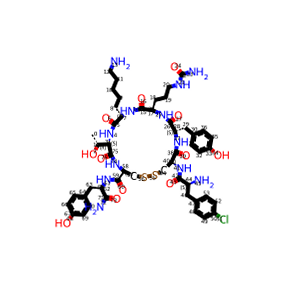 C[C@@H](O)[C@@H]1NC(=O)[C@H](CCCCCN)NC(=O)[C@@H](CCCNC(N)=O)NC(=O)[C@H](Cc2ccc(O)cc2)NC(=O)[C@H](NC(=O)[C@@H](N)Cc2ccc(Cl)cc2)CSSC[C@@H](C(=O)N[C@H](Cc2ccc(O)cc2)C(N)=O)NC1=O